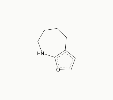 c1cc2c(o1)NCCCC2